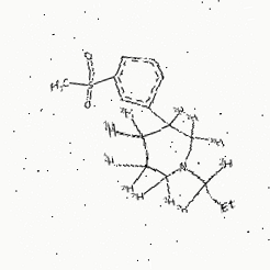 [2H]C([2H])(CC)N1C([2H])([2H])C([2H])([2H])C([2H])([2H])C([2H])(c2cccc(S(C)(=O)=O)c2)C1([2H])[2H]